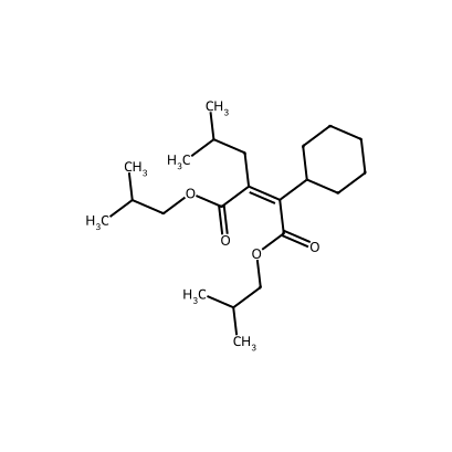 CC(C)COC(=O)/C(CC(C)C)=C(\C(=O)OCC(C)C)C1CCCCC1